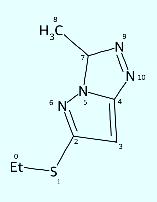 CCSc1cc2n(n1)C(C)N=N2